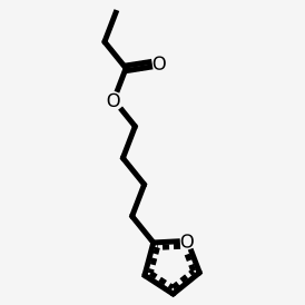 CCC(=O)OCCCCc1ccco1